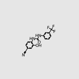 N#Cc1ccc(NC(=O)Nc2cccc(C(F)(F)F)c2)c(O)c1